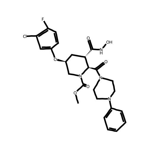 COC(=O)N1C[C@@H](Oc2ccc(F)c(Cl)c2)C[C@H](C(=O)NO)[C@H]1C(=O)N1CCN(c2ccccc2)CC1